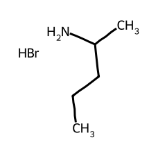 Br.CCCC(C)N